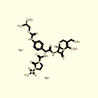 CC(=O)OCC1=C(C(=O)[O-])N2C(=O)[C@@H](NC(=O)[C@H](NC(=O)N3CCN(S(C)(=O)=O)C3=O)c3ccc(NC(=O)OC[C@@H](N)C(=O)[O-])cc3)[C@@H]2SC1.[Na+].[Na+]